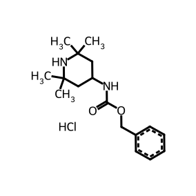 CC1(C)CC(NC(=O)OCc2ccccc2)CC(C)(C)N1.Cl